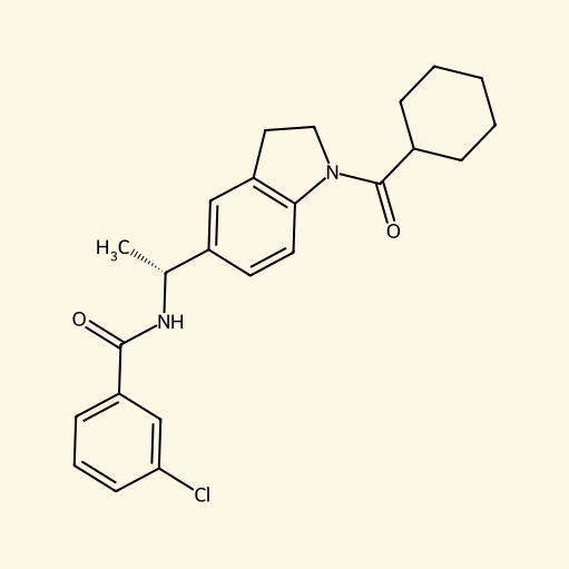 C[C@@H](NC(=O)c1cccc(Cl)c1)c1ccc2c(c1)CCN2C(=O)C1CCCCC1